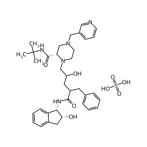 CC(C)(C)NC(=O)[C@@H]1CN(Cc2cccnc2)CCN1CC(O)CC(Cc1ccccc1)C(=O)N[C@H]1c2ccccc2C[C@H]1O.O=S(=O)(O)O